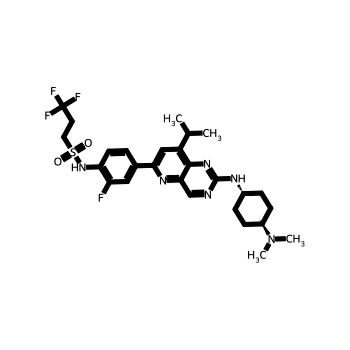 CC(C)c1cc(-c2ccc(NS(=O)(=O)CCC(F)(F)F)c(F)c2)nc2cnc(N[C@H]3CC[C@H](N(C)C)CC3)nc12